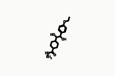 CCOc1ccc(C(O)C(O)C2CCC(C(=O)NN)CC2)cc1